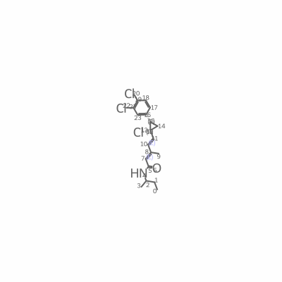 CCC(C)NC(=O)/C=C(C)/C=C/[C@]1(Cl)C[C@H]1c1ccc(Cl)c(Cl)c1